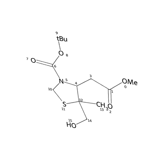 COC(=O)CC1N(C(=O)OC(C)(C)C)CSC1(C)CO